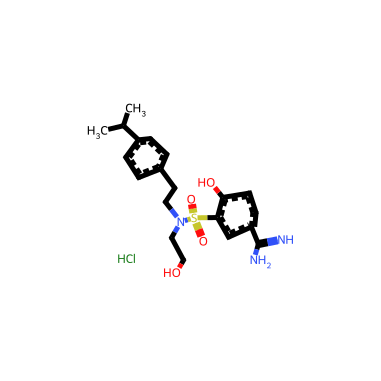 CC(C)c1ccc(CCN(CCO)S(=O)(=O)c2cc(C(=N)N)ccc2O)cc1.Cl